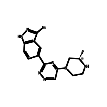 CCc1n[nH]c2ccc(-c3nncc(N4CCN[C@@H](C)C4)n3)cc12